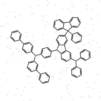 c1ccc(-c2ccc(N(c3ccc(-n4c5ccc(N(c6ccccc6)c6ccccc6)cc5c5cc(C6(c7ccccc7)c7ccccc7-c7ccccc76)ccc54)cc3)c3cccc(-c4ccccc4)c3)cc2)cc1